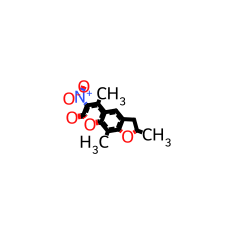 Cc1c([N+](=O)[O-])c(=O)oc2c(C)c3c(cc12)CC(C)O3